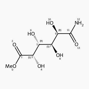 COC(=O)[C@@H](O)[C@H](O)[C@H](O)[C@@H](O)C(N)=O